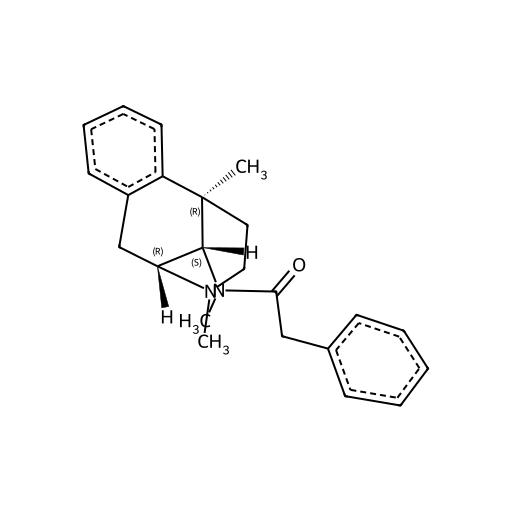 CN1CC[C@]2(C)c3ccccc3C[C@@H]1[C@H]2N(C)C(=O)Cc1ccccc1